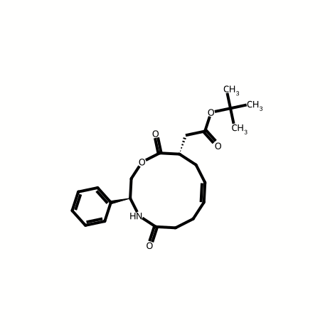 CC(C)(C)OC(=O)C[C@@H]1CC=CCCC(=O)N[C@@H](c2ccccc2)COC1=O